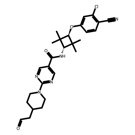 CC1(C)[C@H](NC(=O)c2cnc(N3CCC(CC=O)CC3)nc2)C(C)(C)[C@H]1Oc1ccc(C#N)c(Cl)c1